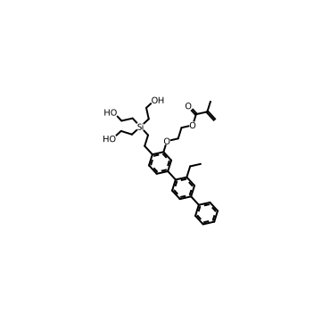 C=C(C)C(=O)OCCOc1cc(-c2ccc(-c3ccccc3)cc2CC)ccc1CC[Si](CCO)(CCO)CCO